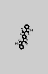 O=C1Nc2ccccc2C1C1C(=O)Oc2cc3c(cc21)OC(=O)C3C1C(=O)Nc2ccccc21